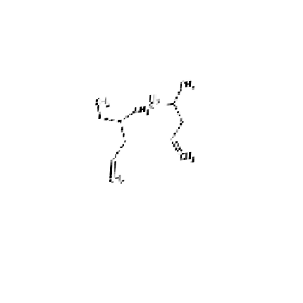 C=CCC(C)C.C=CCC(C)CC